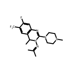 CC(C)=NN1C(N2CCN(C)CC2)=Nc2cc(F)c(C(F)(F)F)cc2C1C